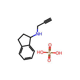 C#CCNC1CCc2ccccc21.O=S(=O)(O)O